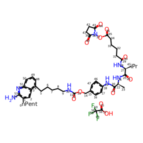 CCCCCc1cc2c(CCCCCNC(=O)OCc3ccc(NC(=O)[C@H](C)NC(=O)[C@@H](NC(=O)CCCCC(=O)ON4C(=O)CCC4=O)C(C)C)cc3)cccc2nc1N.O=C(O)C(F)(F)F